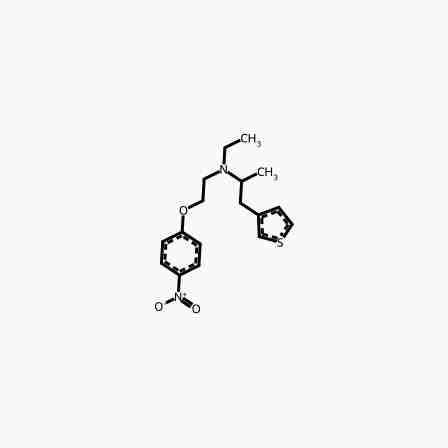 CCN(CCOc1ccc([N+](=O)[O-])cc1)C(C)Cc1ccsc1